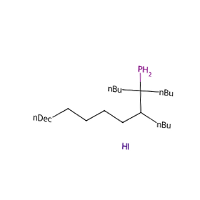 CCCCCCCCCCCCCCC(CCCC)C(P)(CCCC)CCCC.I